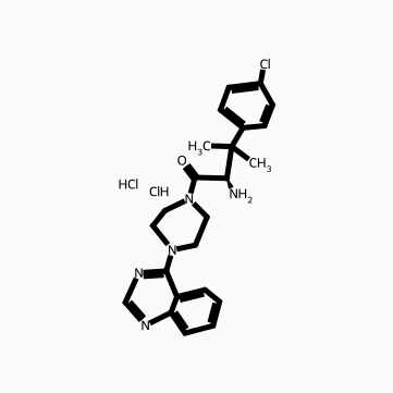 CC(C)(c1ccc(Cl)cc1)[C@@H](N)C(=O)N1CCN(c2ncnc3ccccc23)CC1.Cl.Cl